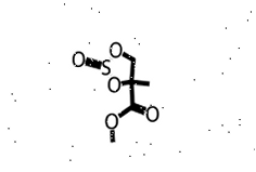 COC(=O)C1(C)COS(=O)O1